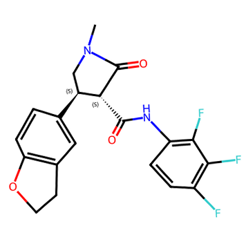 CN1C[C@H](c2ccc3c(c2)CCO3)[C@@H](C(=O)Nc2ccc(F)c(F)c2F)C1=O